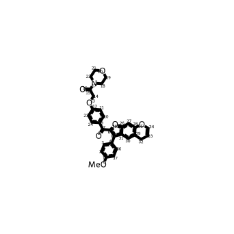 COc1ccc(-c2c(C(=O)c3ccc(OCC(=O)N4CCOCC4)cc3)oc3cc4c(cc23)CC=CO4)cc1